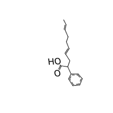 C/C=C/CCC=CCC(C(=O)O)c1ccccc1